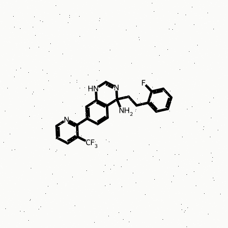 NC1(CCc2ccccc2F)N=CNc2cc(-c3ncccc3C(F)(F)F)ccc21